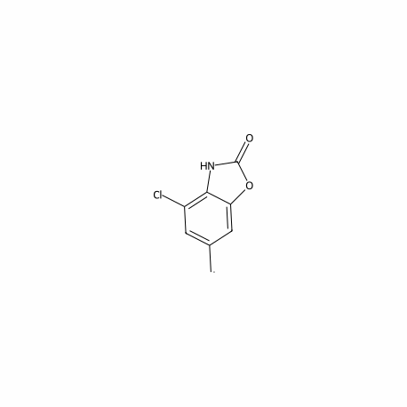 [CH2]c1cc(Cl)c2[nH]c(=O)oc2c1